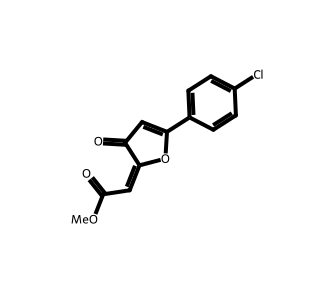 COC(=O)/C=C1/OC(c2ccc(Cl)cc2)=CC1=O